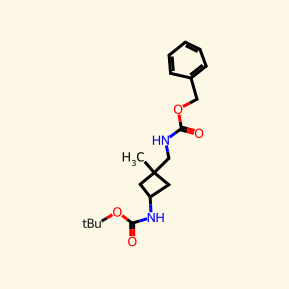 CC1(CNC(=O)OCc2ccccc2)CC(NC(=O)OC(C)(C)C)C1